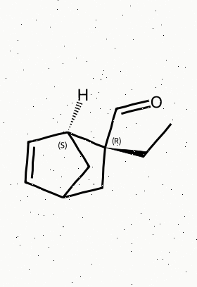 CC[C@@]1(C=O)CC2C=C[C@@H]1C2